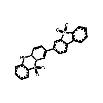 O=S1(=O)c2ccccc2-c2ccc(C3=CC4C(C=C3)Nc3ccccc3S4(=O)=O)cc21